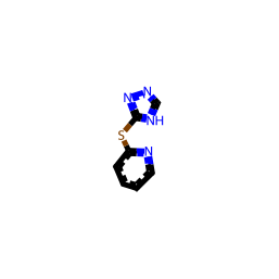 [c]1ccc(Sc2nnc[nH]2)nc1